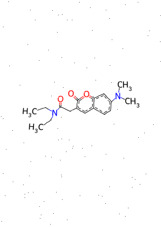 CCN(CC)C(=O)Cc1cc2ccc(N(C)C)cc2oc1=O